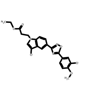 CCOC(=O)CCn1cc(Cl)c2cc(-c3noc(-c4ccc(OC)c(Cl)c4)n3)ccc21